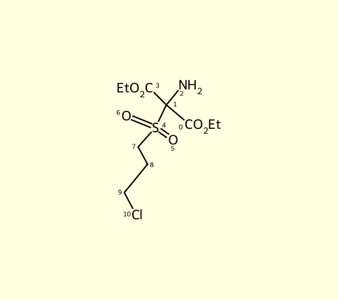 CCOC(=O)C(N)(C(=O)OCC)S(=O)(=O)CCCCl